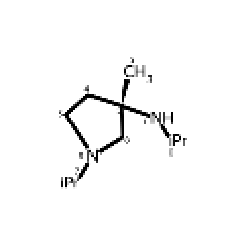 CC(C)N[C@@]1(C)CCN(C(C)C)C1